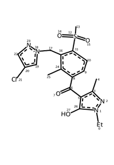 CCn1nc(C)c(C(=O)c2ccc(S(C)(=O)=O)c(Cn3cc(Cl)cn3)c2C)c1O